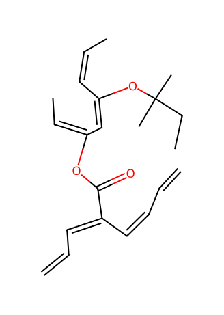 C=C/C=C\C(=C/C=C)C(=O)OC(/C=C(\C=C/C)OC(C)(C)CC)=C/C